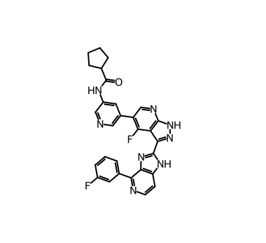 O=C(Nc1cncc(-c2cnc3[nH]nc(-c4nc5c(-c6cccc(F)c6)nccc5[nH]4)c3c2F)c1)C1CCCC1